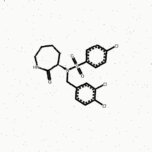 O=C1NCCCC[C@H]1N(Cc1ccc(Cl)c(Cl)c1)S(=O)(=O)c1ccc(Cl)cc1